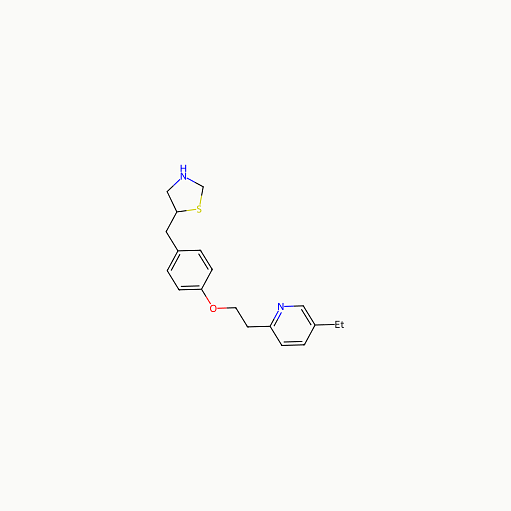 CCc1ccc(CCOc2ccc(CC3CNCS3)cc2)nc1